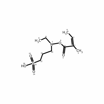 CC=C(C)C(=O)ON(CC)CCCS(=O)(=O)O